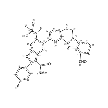 CNC(=O)c1c(-c2ccc(F)cc2)oc2cc(N(C)S(C)(=O)=O)c(-c3ccc4c(n3)-c3cc5c(C=O)cccc5n3CO4)cc12